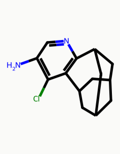 Nc1cnc2c(c1Cl)C1CC3CC(CC2C3)C1